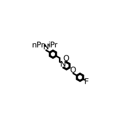 CCCN(Cc1ccc(CCn2ccc(OCc3ccc(F)cc3)cc2=O)cc1)C(C)C